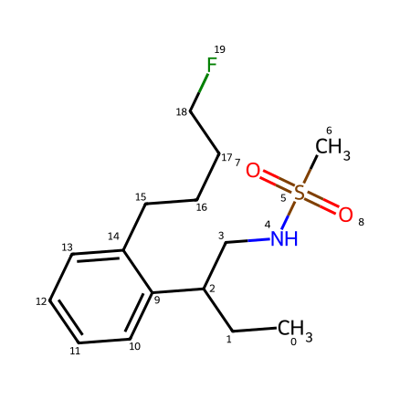 CCC(CNS(C)(=O)=O)c1ccccc1CCCCF